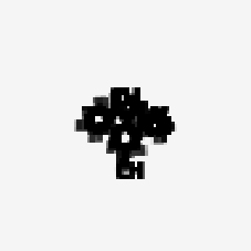 C#Cc1ccc2c(N(C)c3ccccc3)nc3nncn3c2c1